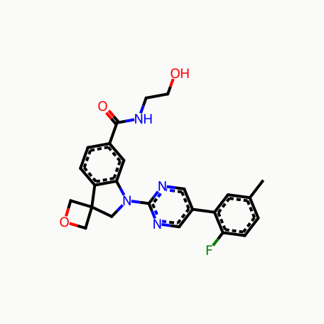 Cc1ccc(F)c(-c2cnc(N3CC4(COC4)c4ccc(C(=O)NCCO)cc43)nc2)c1